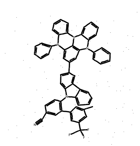 Cc1cc(-c2cc(C#N)ccc2-n2c3ccccc3c3cc(-c4cc5c6c(c4)N(c4ccccc4)c4ccccc4B6c4ccccc4N5c4ccccc4)ccc32)cc(C(F)(F)F)c1